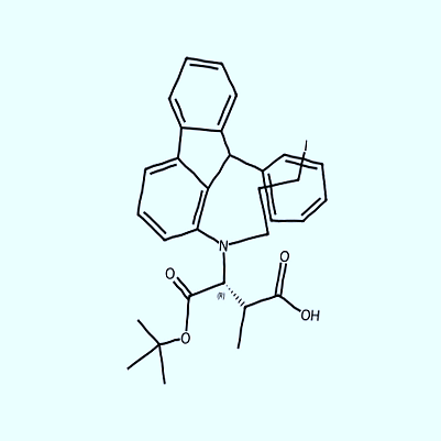 CC(C(=O)O)[C@H](C(=O)OC(C)(C)C)N(CCCI)c1cccc2c1C(c1ccccc1)c1ccccc1-2